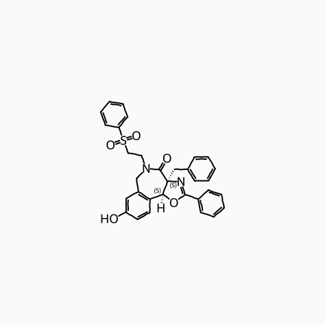 O=C1N(CCS(=O)(=O)c2ccccc2)Cc2cc(O)ccc2[C@@H]2OC(c3ccccc3)=N[C@]12Cc1ccccc1